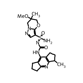 COC1(C)COc2c(S(N)(=O)=NC(=O)Nc3c4c(nc5c3CCC5C)CCC4)cnn2C1